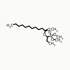 CCCCCCCCCCC(=O)OC(CC)[Si](OC)(OC)OC